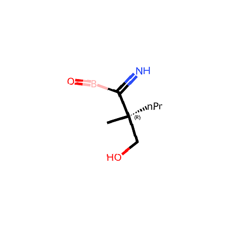 CCC[C@@](C)(CO)C(=N)B=O